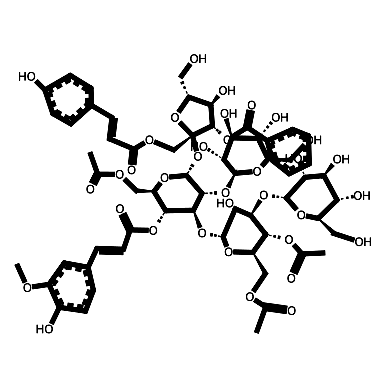 COc1cc(/C=C/C(=O)O[C@H]2[C@H](O[C@H]3O[C@H](COC(C)=O)[C@@H](OC(C)=O)[C@H](O[C@H]4O[C@H](CO)[C@@H](O)[C@H](O)[C@H]4O)[C@H]3O)[C@@H](O[C@@H]3O[C@H](CO)[C@@H](O)[C@H](O)[C@H]3O)[C@@H](O[C@]3(COC(=O)/C=C/c4ccc(O)cc4)O[C@H](CO)[C@@H](O)[C@@H]3OC(=O)c3ccccc3)O[C@@H]2COC(C)=O)ccc1O